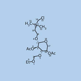 CCOCO[C@@H]1[C@@H](OC(C)=O)[C@H](OCC[N+](C)(C)CCl)OC[C@H]1OC(C)=O